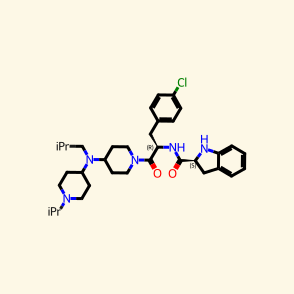 CC(C)CN(C1CCN(C(=O)[C@@H](Cc2ccc(Cl)cc2)NC(=O)[C@@H]2Cc3ccccc3N2)CC1)C1CCN(C(C)C)CC1